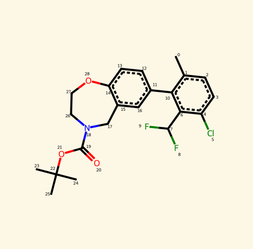 Cc1ccc(Cl)c(C(F)F)c1-c1ccc2c(c1)CN(C(=O)OC(C)(C)C)CCO2